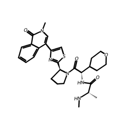 CN[C@@H](C)C(=O)N[C@H](C(=O)N1CCC[C@H]1c1nc(-c2cn(C)c(=O)c3ccccc23)cs1)C1CCOCC1